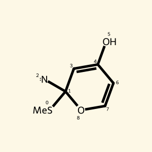 CSC1([N])C=C(O)C=CO1